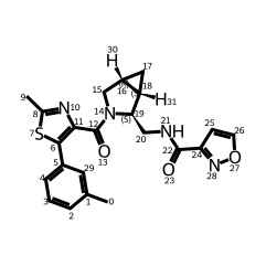 Cc1cccc(-c2sc(C)nc2C(=O)N2C[C@@H]3C[C@@H]3[C@H]2CNC(=O)c2ccon2)c1